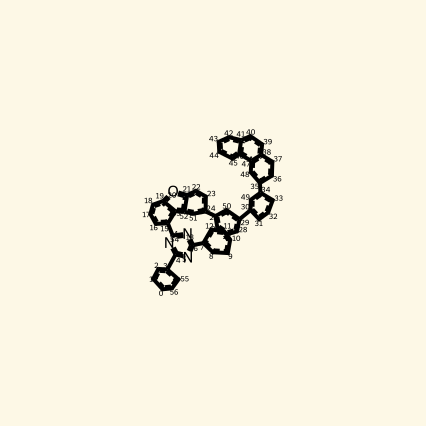 c1ccc(-c2nc(-c3ccccc3)nc(-c3cccc4oc5ccc(-c6cccc(-c7cccc(-c8ccc9ccc%10ccccc%10c9c8)c7)c6)cc5c34)n2)cc1